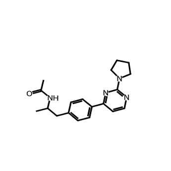 CC(=O)NC(C)Cc1ccc(-c2ccnc(N3CCCC3)n2)cc1